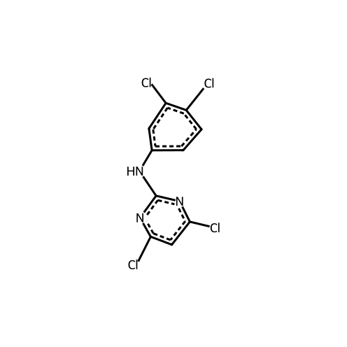 Clc1cc(Cl)nc(Nc2ccc(Cl)c(Cl)c2)n1